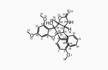 COc1ccc([C@@]23Oc4cc(OC)cc(OC)c4[C@]2(O)[C@@H]2OC(=S)N[C@@H]2[C@H]3c2ccccc2)cc1